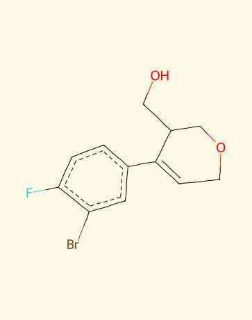 OCC1COCC=C1c1ccc(F)c(Br)c1